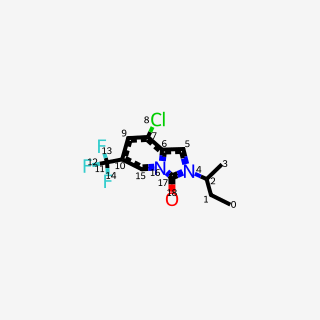 CCC(C)n1cc2c(Cl)cc(C(F)(F)F)cn2c1=O